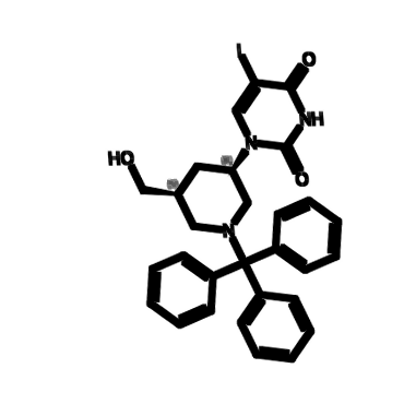 O=c1[nH]c(=O)n([C@@H]2C[C@H](CO)CN(C(c3ccccc3)(c3ccccc3)c3ccccc3)C2)cc1I